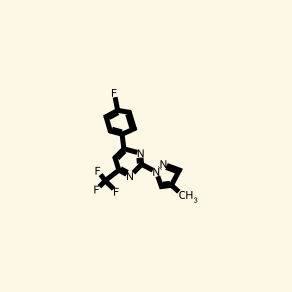 Cc1cnn(-c2nc(-c3ccc(F)cc3)cc(C(F)(F)F)n2)c1